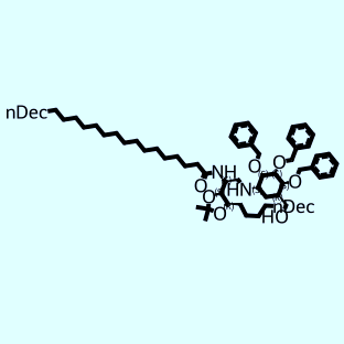 CCCCCCCCCCCCCCCCCCCCCCCCCC(=O)N[C@@H](CN[C@H]1C[C@H](CO)[C@H](OCc2ccccc2)[C@H](OCc2ccccc2)[C@H]1OCc1ccccc1)[C@@H]1OC(C)(C)O[C@@H]1CCCCCCCCCCCCCC